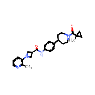 Cc1ncccc1N1CC(C(=O)Nc2ccc(C3CCN(C(=O)C4(C)CC4)CC3)cc2)C1